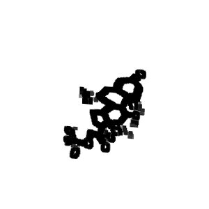 C[C@]12C=CC(=O)C=C1CCC1C2C(O)C[C@@]2(C)C1CC[C@]2(O)C(=O)COP(=O)([O-])[O-].[Na+].[Na+]